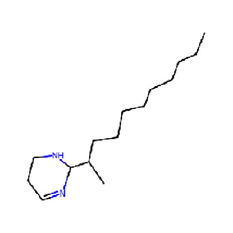 CCCCCCCCCC(C)C1N=CCCN1